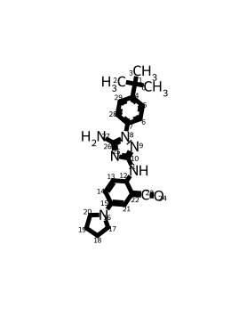 CC(C)(C)c1ccc(-n2nc(NC3C=CC(N4CCCC4)=CC3=C=O)nc2N)cc1